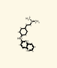 CN(C)CCC1CCC(Nc2ccc3ncccc3n2)CC1